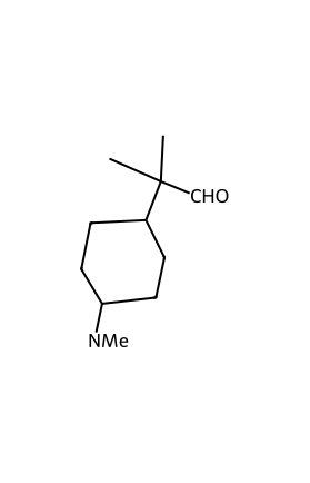 CNC1CCC(C(C)(C)C=O)CC1